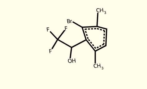 Cc1ccc(C)c(C(O)C(F)(F)F)c1Br